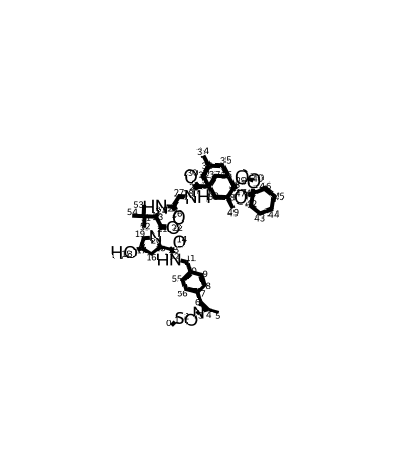 CSON1C(C)=C1c1ccc(CNC(=O)C2CC(O)CN2C(=O)C(NC(=O)CNC(=O)C23CC(C)CC(C2)C2(OOC4(CCCCC4)O2)C(C)C3)C(C)(C)C)cc1